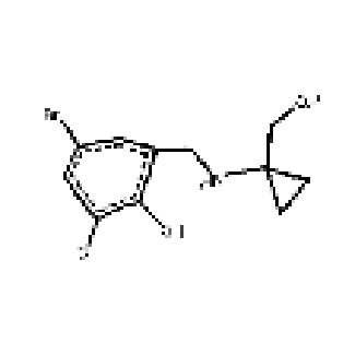 OCC1(NCc2cc(Br)cc(Cl)c2O)CC1